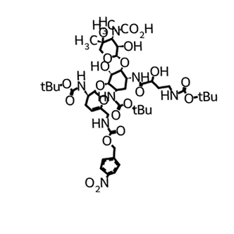 CN(C(=O)O)[C@@H]1[C@@H](O)[C@@H](O[C@@H]2[C@@H](O)[C@H](O[C@H]3OC(CNC(=O)OCc4ccc([N+](=O)[O-])cc4)=CC[C@H]3NC(=O)OC(C)(C)C)[C@@H](NC(=O)OC(C)(C)C)C[C@H]2NC(=O)C(O)CCNC(=O)OC(C)(C)C)OC[C@]1(C)O